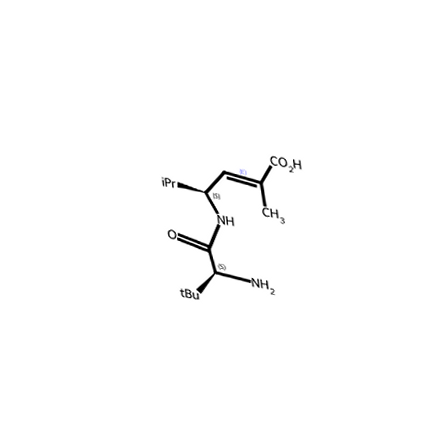 C/C(=C\[C@@H](NC(=O)[C@@H](N)C(C)(C)C)C(C)C)C(=O)O